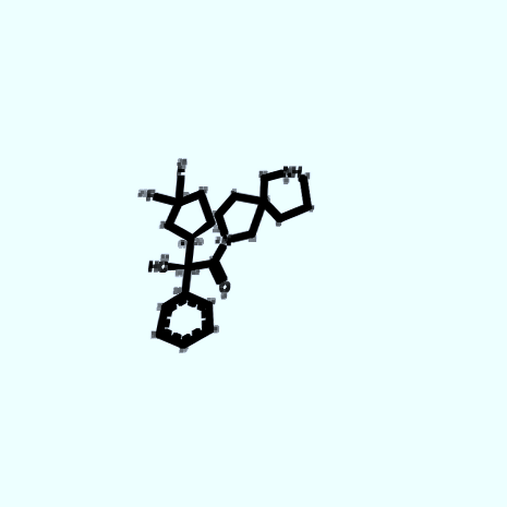 O=C(N1CCC2(CCCNC2)C1)[C@](O)(c1ccccc1)[C@@H]1CCC(F)(F)C1